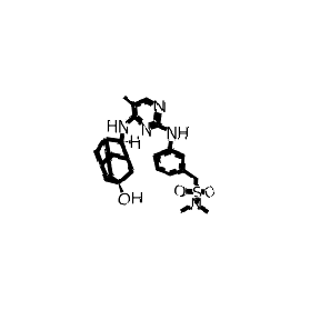 Cc1cnc(Nc2cccc(CS(=O)(=O)N(C)C)c2)nc1N[C@H]1C2CC3CC1C[C@@](O)(C3)C2